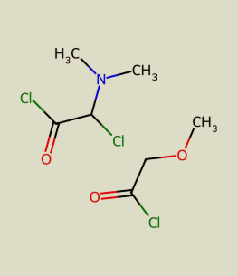 CN(C)C(Cl)C(=O)Cl.COCC(=O)Cl